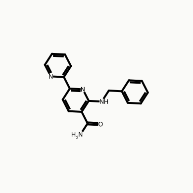 NC(=O)c1ccc(-c2ccccn2)nc1NCc1ccccc1